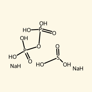 O=P(O)(O)OP(=O)(O)O.O=S(O)O.[NaH].[NaH]